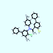 C=C(c1cc(-c2ccccc2)ccc1S)N(c1ccc(C(C)(C)C)cc1)c1cc(-c2ccccc2)cc(C)c1Cl